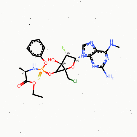 CCOC(=O)[C@@H](C)NP(=S)(Oc1ccccc1)OC1C2(CCl)O[C@@H](n3cnc4c(NC)nc(N)nc43)[C@@H](F)[C@@]12O